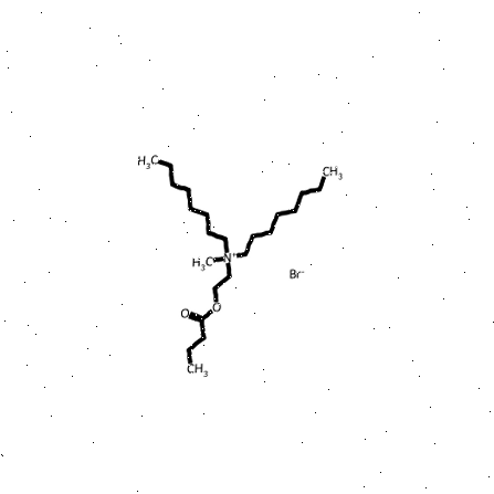 CCCCCCCC[N+](C)(CCCCCCCC)CCOC(=O)CCC.[Br-]